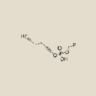 C#CCCC#COP(=O)(O)OCF